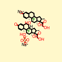 C[C@@H]1CC2C3CCC4=CC(=O)C=C[C@]4(C)[C@@]3(F)[C@@H](O)C[C@]2(C)[C@@]1(O)C(=O)CO.C[C@@H]1CC2[C@H]3CCC4=CC(=O)C=C[C@]4(C)[C@@]3(F)[C@@H](O)C[C@]2(C)[C@@]1(O)C(=O)CO.O=S(=O)([O-])[O-].[Na+].[Na+]